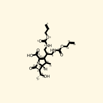 C=CCOC(=O)NCC(CNC(=O)OCC=C)C1=C(C(=O)O)N2C(=O)[C@H]([C@@H](C)O)[C@H]2C1C